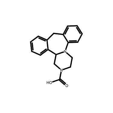 O=C(O)N1CCN2c3ccccc3Cc3ccccc3C2C1